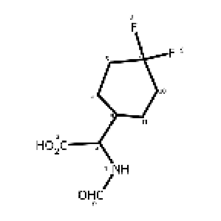 O=CNC(C(=O)O)C1CCC(F)(F)CC1